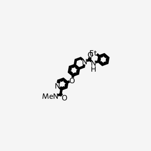 CCc1ccccc1NC(=O)N1CCc2ccc(Oc3ccnc(C(=O)NC)c3)cc2C1